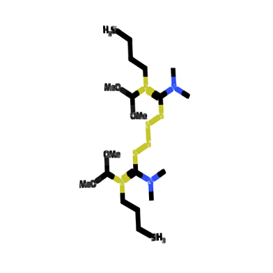 COC(OC)S(CCC[SiH3])=C(SSSSC(N(C)C)=S(CCC[SiH3])C(OC)OC)N(C)C